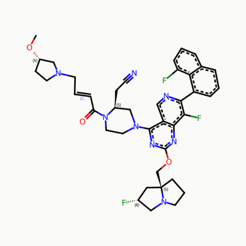 CO[C@H]1CCN(C/C=C/C(=O)N2CCN(c3nc(OC[C@@]45CCCN4C[C@H](F)C5)nc4c(F)c(-c5cccc6cccc(F)c56)ncc34)C[C@@H]2CC#N)C1